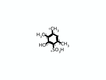 Cc1cc(C)c(S(=O)(=O)O)c(O)c1C